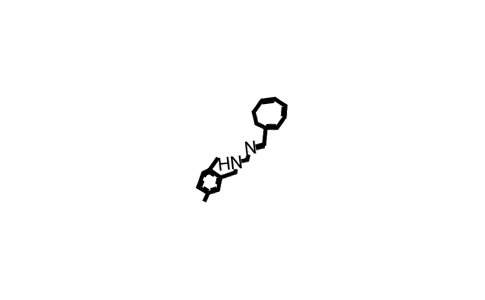 Cc1ccc(C)c(CNC/N=C/C2=C/C=C\C=C/CC2)c1